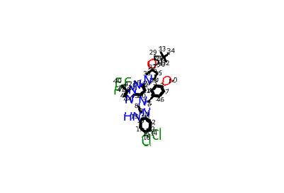 COc1ccc(CN(Cc2nc3cc(Cl)c(Cl)cc3[nH]2)c2cc(N3CC[C@H](O[Si](C)(C)C(C)(C)C)C3)nn3c(C(F)(F)F)cnc23)cc1